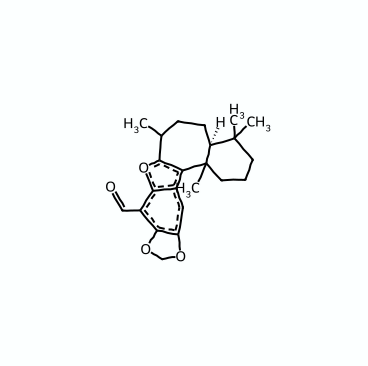 CC1CC[C@H]2C(C)(C)CCCC2(C)c2c1oc1c(C=O)c3c(cc21)OCO3